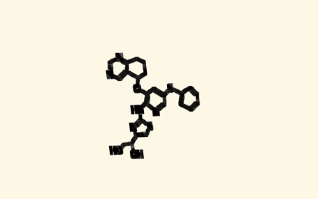 OCC(O)c1csc(Nc2ncc(Sc3ccccc3)cc2OC2CCCc3ncncc32)n1